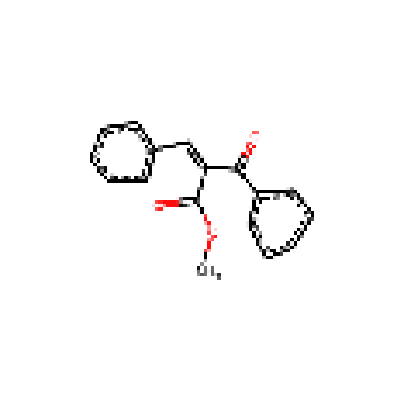 COC(=O)C(=Cc1ccccc1)C(=O)c1ccccc1